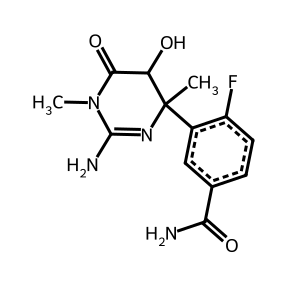 CN1C(=O)C(O)C(C)(c2cc(C(N)=O)ccc2F)N=C1N